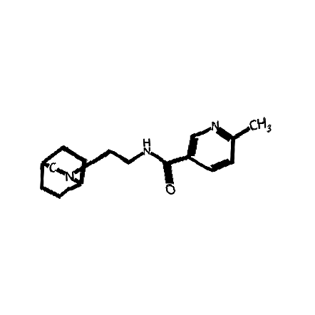 Cc1ccc(C(=O)NCCN2CC3CCC2CC3)cn1